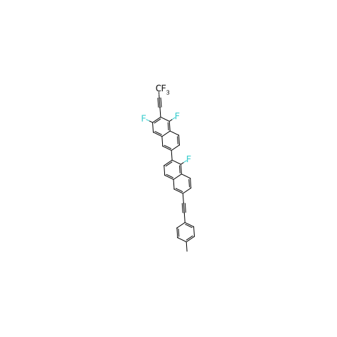 Cc1ccc(C#Cc2ccc3c(F)c(-c4ccc5c(F)c(C#CC(F)(F)F)c(F)cc5c4)ccc3c2)cc1